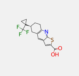 O=C(O)c1cc2cc3c(nc2s1)CC[C@H](C1(C(F)(F)F)CC1)C3